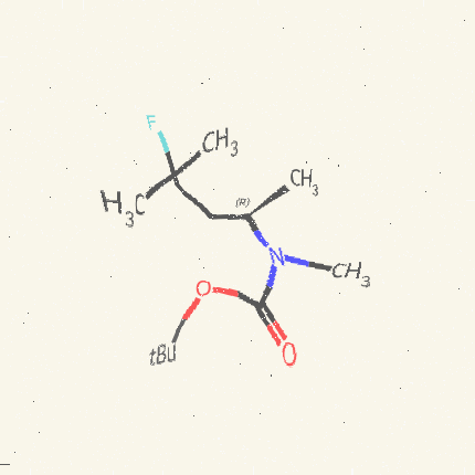 C[C@H](CC(C)(C)F)N(C)C(=O)OC(C)(C)C